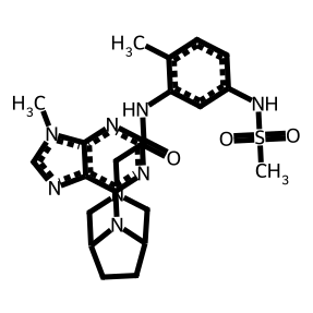 Cc1ccc(NS(C)(=O)=O)cc1NC(=O)CN1CC2CCC(C1)N2c1ncnc2c1ncn2C